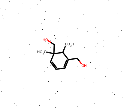 O=C(O)C1C(CO)=CC=CC1(CO)C(=O)O